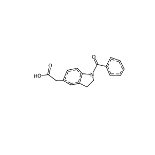 O=C(O)Cc1ccc2c(c1)CCN2C(=O)c1ccccc1